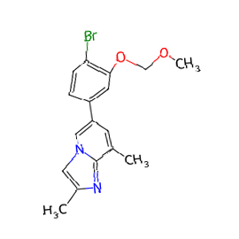 COCOc1cc(-c2cc(C)c3nc(C)cn3c2)ccc1Br